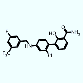 NC(=O)c1cccc(-c2ccc(NCc3cc(F)cc(C(F)(F)F)c3)cc2Cl)c1O